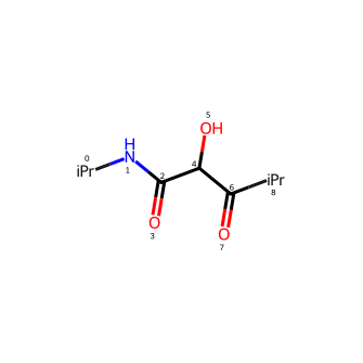 CC(C)NC(=O)C(O)C(=O)C(C)C